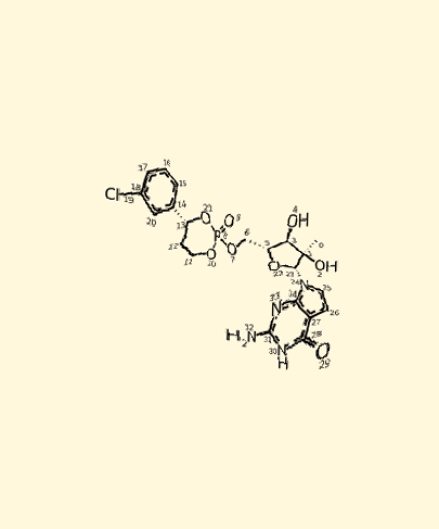 C[C@@]1(O)[C@H](O)[C@@H](COP2(=O)OCC[C@H](c3cccc(Cl)c3)O2)O[C@H]1n1ccc2c(=O)[nH]c(N)nc21